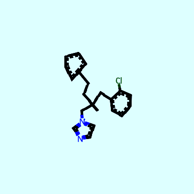 CC(CCc1ccccc1)(Cc1ccccc1Cl)Cn1ccnc1